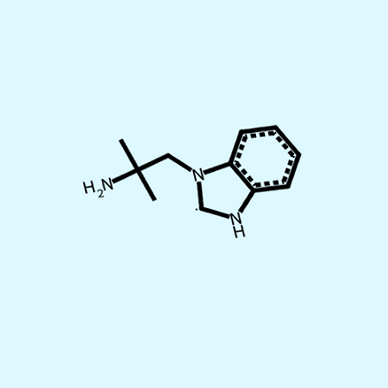 CC(C)(N)CN1[CH]Nc2ccccc21